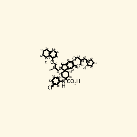 C[C@@H](COc1ccnc2c1[C@H](C)CCC2)C[C@H]1Cc2cc3c(cc2C12CCC(Nc1cccc(Cl)c1)(C(=O)O)CC2)OCC(CN1CCC[C@@H]1C)CO3